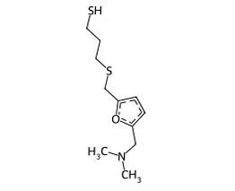 CN(C)Cc1ccc(CSCCCS)o1